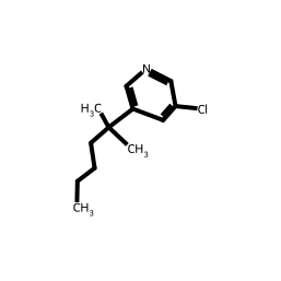 CCCCC(C)(C)c1cncc(Cl)c1